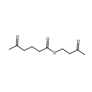 CC(=O)CCCC(=O)OCCC(C)=O